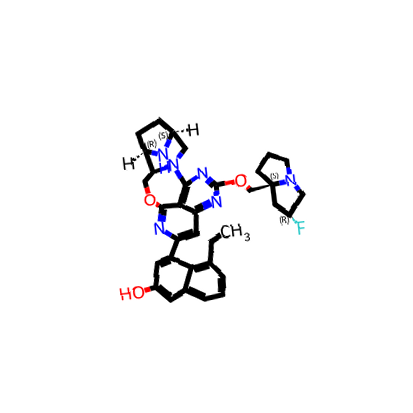 CCc1cccc2cc(O)cc(-c3cc4nc(OC[C@@]56CCCN5C[C@H](F)C6)nc5c4c(n3)OCC3[C@H]4CC[C@@H](CN53)N4)c12